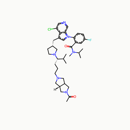 CC(=O)N1CC2CN(CCC[C@@H](C(C)C)N3CC[C@H](Cc4cn(-c5ccc(F)cc5C(=O)N(C)C(C)C)c5cncc(Cl)c45)C3)C[C@H]2C1